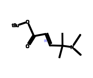 CN(C)C(C)(C)/C=C/C(=O)OC(C)(C)C